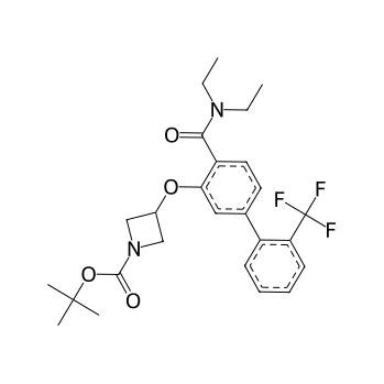 CCN(CC)C(=O)c1ccc(-c2ccccc2C(F)(F)F)cc1OC1CN(C(=O)OC(C)(C)C)C1